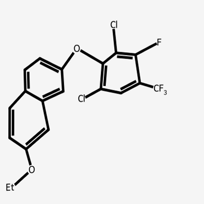 CCOc1ccc2ccc(Oc3c(Cl)cc(C(F)(F)F)c(F)c3Cl)cc2c1